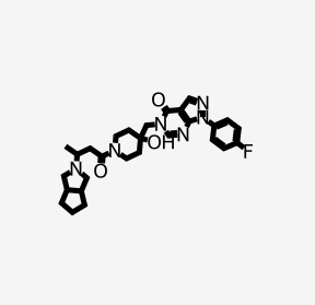 CC(CC(=O)N1CCC(O)(Cn2cnc3c(cnn3-c3ccc(F)cc3)c2=O)CC1)N1CC2CCCC2C1